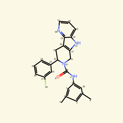 Cc1cc(C)cc(NC(=O)N2Cc3[nH]c4cccnc4c3CC2c2cccc(F)c2)c1